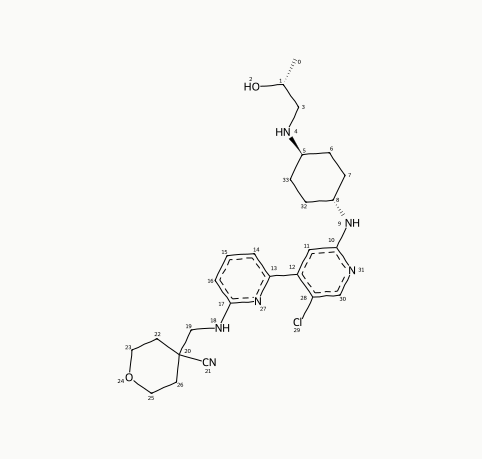 C[C@@H](O)CN[C@H]1CC[C@H](Nc2cc(-c3cccc(NCC4(C#N)CCOCC4)n3)c(Cl)cn2)CC1